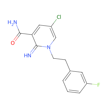 N=c1c(C(N)=O)cc(Cl)cn1CCc1cccc(F)c1